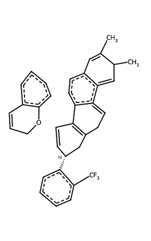 C1=Cc2ccccc2OC1.CC1=Cc2ccc3c(c2=CC1C)=CCC1=C3C=C[C@@H](c2ccccc2C(F)(F)F)C1